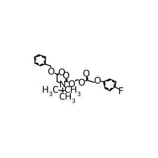 CC(C)(C)N(CC(=O)OCc1ccccc1)C(=O)OCOC(=O)COc1ccc(F)cc1